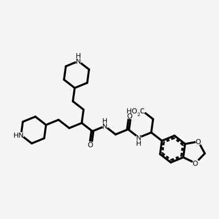 O=C(O)CC(NC(=O)CNC(=O)C(CCC1CCNCC1)CCC1CCNCC1)c1ccc2c(c1)OCO2